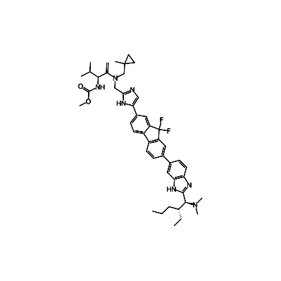 C=C(C(NC(=O)OC)C(C)C)N(Cc1ncc(-c2ccc3c(c2)C(F)(F)c2cc(-c4ccc5nc([C@H]([C@H](CC)CCC)N(C)C)[nH]c5c4)ccc2-3)[nH]1)CC1(C)CC1